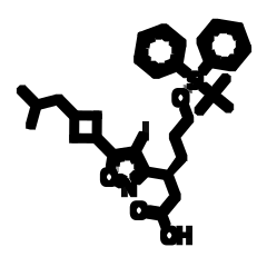 CC(C)CC1CC(c2onc([C@@H](CCCO[Si](c3ccccc3)(c3ccccc3)C(C)(C)C)CC(=O)O)c2I)C1